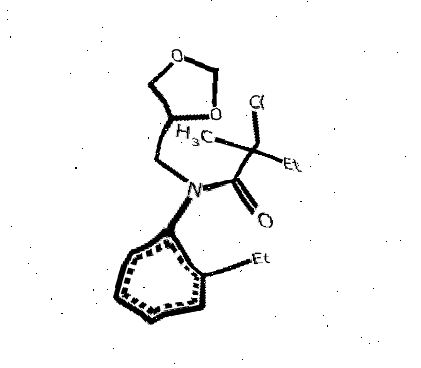 CCc1ccccc1N(CC1COCO1)C(=O)C(C)(Cl)CC